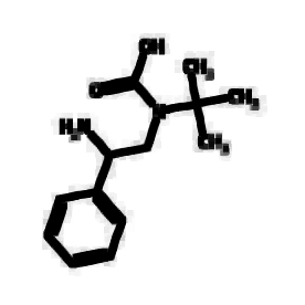 CC(C)(C)N(CC(N)c1ccccc1)C(=O)O